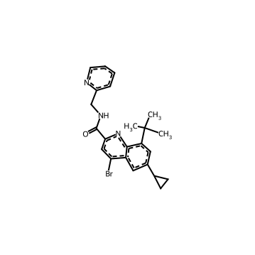 CC(C)(C)c1cc(C2CC2)cc2c(Br)cc(C(=O)NCc3ccccn3)nc12